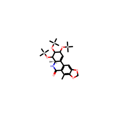 Cc1c2c(cc3c1C(=O)N[C@@H]1C3=CC(O[Si](C)(C)C)C(O[Si](C)(C)C)C1O[Si](C)(C)C)OCO2